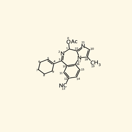 CC(=O)OC1N=C(C2=CCCCC2)c2cc(C#N)ccc2-n2c(C)cnc21